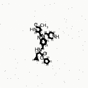 Cc1cc(-c2nc3cc(CNC(CC4CC4)C(=O)OC4CCCC4)ccc3n2CC2CCNCC2)c[nH]c1=O